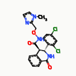 Cn1ccnc1CONC(=O)[C@@H]1c2ccccc2C(=O)N[C@H]1c1ccc(Cl)cc1Cl